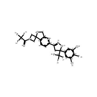 O=C(N1CC2(C1)OCc1nc(C3=NOC(c4cc(Cl)c(F)c(Cl)c4)(C(F)(F)F)C3)ccc12)C(F)(F)F